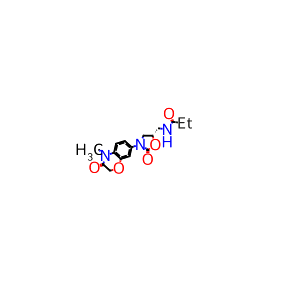 CCC(=O)NC[C@H]1CN(c2ccc3c(c2)OCC(=O)N3C)C(=O)O1